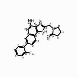 Nc1nc2cc(-c3ccccc3F)ccc2c2[nH]c(CN3CCCC3=O)nc12